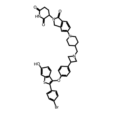 O=C1CCC(N2Cc3cc(N4CCC(CN5CC(c6ccc(Oc7c(-c8ccc(Br)cc8)sc8cc(O)ccc78)cc6)C5)CC4)ccc3C2=O)C(=O)N1